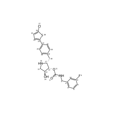 O=C(NCc1cccc(F)c1)O[C@@H]1[C@@H](O)CN[C@@H]1Cc1ccc(-c2ccc(Cl)s2)cc1